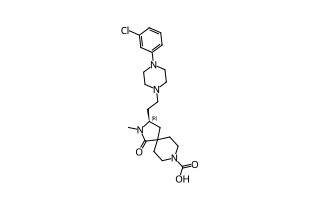 CN1C(=O)C2(CCN(C(=O)O)CC2)C[C@@H]1CCN1CCN(c2cccc(Cl)c2)CC1